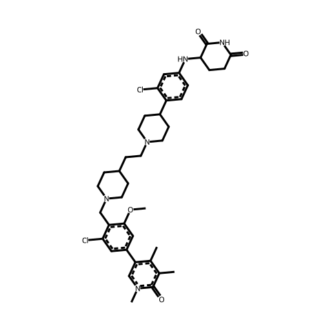 COc1cc(-c2cn(C)c(=O)c(C)c2C)cc(Cl)c1CN1CCC(CCN2CCC(c3ccc(NC4CCC(=O)NC4=O)cc3Cl)CC2)CC1